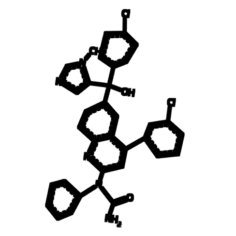 Cn1cncc1C(O)(c1ccc(Cl)cc1)c1ccc2nc(N(C(N)=O)c3ccccc3)cc(-c3cccc(Cl)c3)c2c1